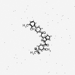 Cc1cccc(N2CCN(C(=O)Cn3nc(C(=O)N4CCN(S(C)(=O)=O)C[C@@H]4C)c4c3CCC4)CC2)c1C